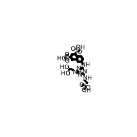 O=S(=O)(O)CCNc1nc(NCC(O)O)nc(Nc2ccc3c(S(=O)(=O)O)cc(S(=O)(=O)O)cc3c2)n1